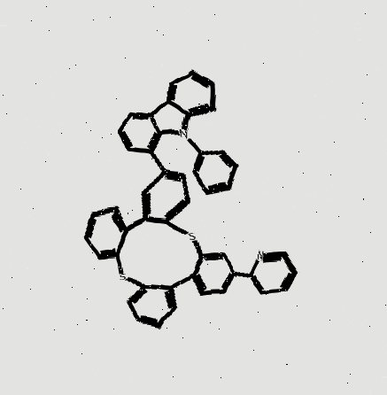 c1ccc(-n2c3ccccc3c3cccc(-c4ccc5c(c4)-c4ccccc4Sc4ccccc4-c4ccc(-c6ccccn6)cc4S5)c32)cc1